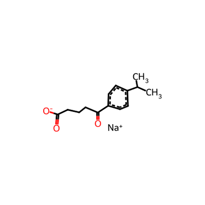 CC(C)c1ccc(C(=O)CCCC(=O)[O-])cc1.[Na+]